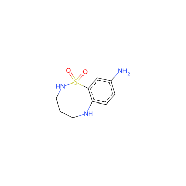 Nc1ccc2c(c1)S(=O)(=O)NCCCN2